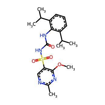 COc1nc(C)ncc1S(=O)(=O)NC(=O)Nc1c(C(C)C)cccc1C(C)C